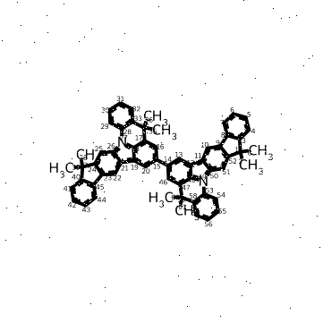 CC1(C)c2ccccc2-c2cc3c4cc(-c5cc6c7c(c5)c5cc8c(cc5n7-c5ccccc5C6(C)C)C(C)(C)c5ccccc5-8)cc5c4n(c3cc21)-c1ccccc1C5(C)C